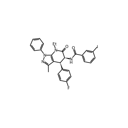 CCN1C(=O)[C@@H](NC(=O)c2cccc(I)c2)[C@@H](c2ccc(F)cc2)c2c(C)nn(-c3ccccc3)c21